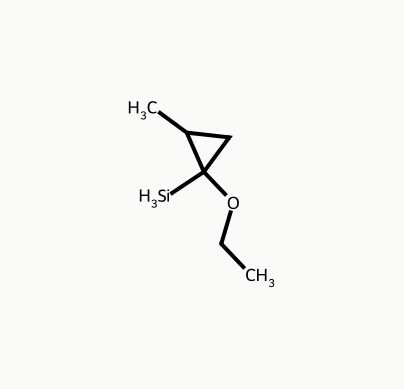 CCOC1([SiH3])CC1C